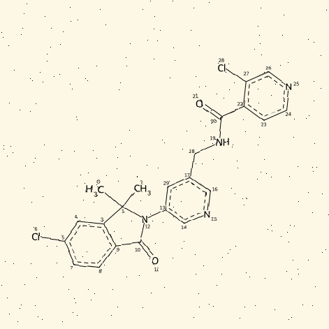 CC1(C)c2cc(Cl)ccc2C(=O)N1c1cncc(CNC(=O)c2ccncc2Cl)c1